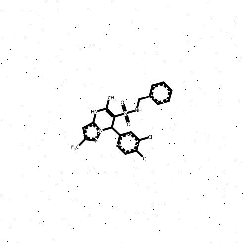 CC1=C(S(=O)(=O)NCc2ccccc2)C(c2ccc(Cl)c(Cl)c2)n2nc(C(F)(F)F)cc2N1